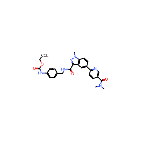 CN(C)C(=O)c1ccc(-c2ccc3c(c2)c(C(=O)NCc2ccc(NC(=O)OCC(Cl)(Cl)Cl)cc2)nn3C)nc1